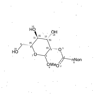 CCCCCCCCCC(=O)O[C@@H]1C(OC)O[C@H](CO)[C@@H](O)[C@@H]1O